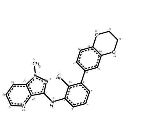 Cn1nc(Nc2cccc(-c3ccc4c(c3)OCCO4)c2Br)c2ncccc21